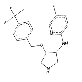 Fc1ccc(NC2CNCC2OCc2ccc(C(F)(F)F)cc2)nc1